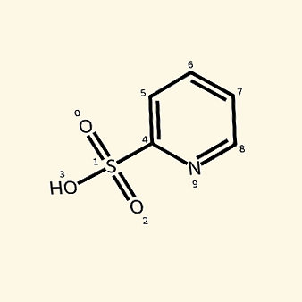 O=S(=O)(O)c1ccccn1